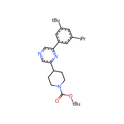 CC(C)c1cc(-c2cncc(C3CCN(C(=O)OC(C)(C)C)CC3)n2)cc(C(C)(C)C)c1